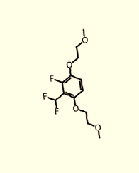 COCCOc1ccc(OCCOC)c(C(F)F)c1F